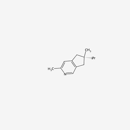 Cc1cc2c(cn1)C[C@@](C)(C(C)C)C2